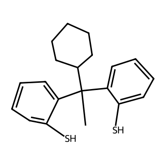 CC(c1ccccc1S)(c1ccccc1S)C1CCCCC1